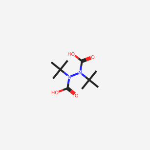 CC(C)(C)N(C(=O)O)N(C(=O)O)C(C)(C)C